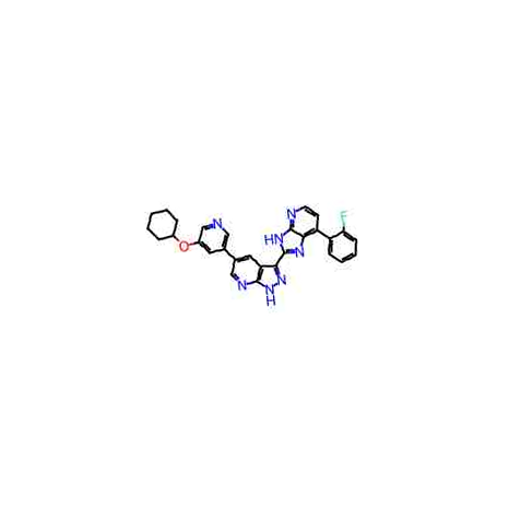 Fc1ccccc1-c1ccnc2[nH]c(-c3n[nH]c4ncc(-c5cncc(OC6CCCCC6)c5)cc34)nc12